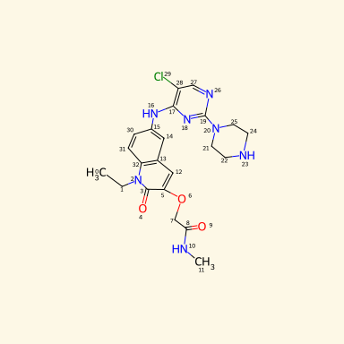 CCn1c(=O)c(OCC(=O)NC)cc2cc(Nc3nc(N4CCNCC4)ncc3Cl)ccc21